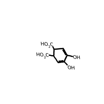 O=C(O)C1C=C(O)C(O)=CC1C(=O)O